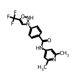 Cc1cc(NC(=O)c2ccc(N3C=C(C(F)(F)F)ON3)cc2)cc(C)n1